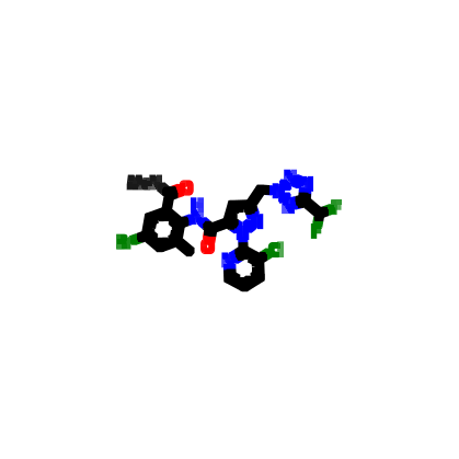 CNC(=O)c1cc(Br)cc(C)c1NC(=O)c1cc(Cn2nnc(C(F)F)n2)nn1-c1ncccc1Cl